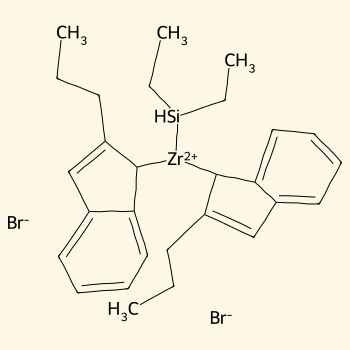 CCCC1=Cc2ccccc2[CH]1[Zr+2]([CH]1C(CCC)=Cc2ccccc21)[SiH](CC)CC.[Br-].[Br-]